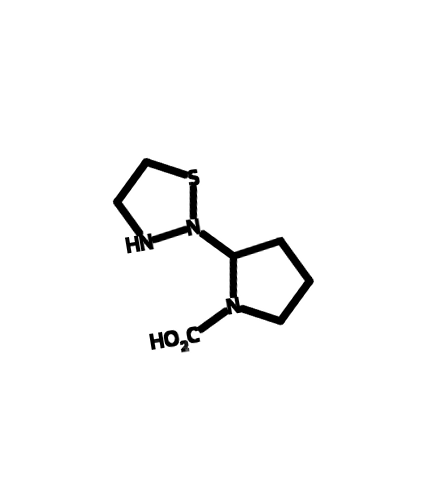 O=C(O)N1CCCC1N1NCCS1